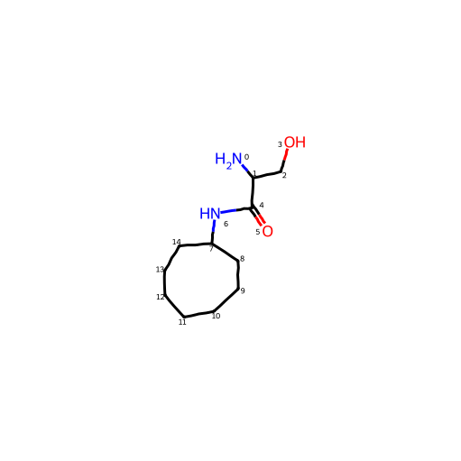 NC(CO)C(=O)NC1CCCCCCC1